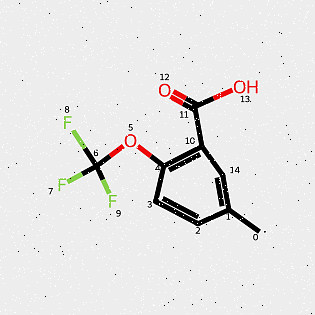 [CH2]c1ccc(OC(F)(F)F)c(C(=O)O)c1